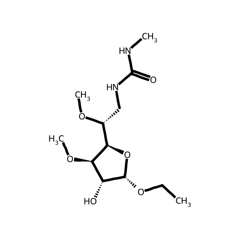 CCO[C@H]1O[C@H]([C@@H](CNC(=O)NC)OC)[C@H](OC)[C@H]1O